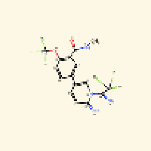 CNC(=O)c1cc(-c2ccc(=N)n(C(=N)C(F)(F)F)c2)ccc1OC(F)(F)F